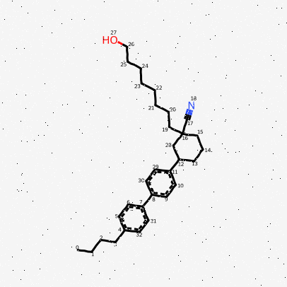 CCCCc1ccc(-c2ccc(C3CCCC(C#N)(CCCCCCCCO)C3)cc2)cc1